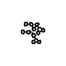 c1ccc(-c2ccc(N(c3ccc(-c4cc5ccccc5c5ccccc45)cc3)c3ccc(-c4ccccc4C4Cc5ccccc5-c5ccccc5C4)c(-c4cccc(-c5ccccc5)c4)c3)cc2)cc1